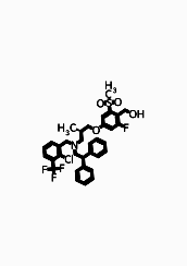 C[C@@H](COc1cc(F)c(CO)c(S(C)(=O)=O)c1)CN(Cc1cccc(C(F)(F)F)c1Cl)CC(c1ccccc1)c1ccccc1